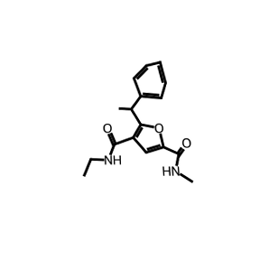 CCNC(=O)c1cc(C(=O)NC)oc1C(C)c1ccccc1